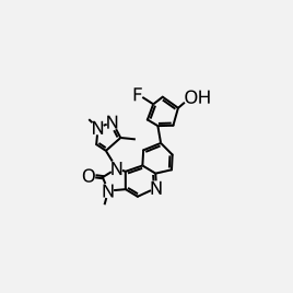 Cc1nn(C)cc1-n1c(=O)n(C)c2cnc3ccc(-c4cc(O)cc(F)c4)cc3c21